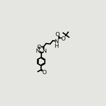 CC(=O)c1ccc(-c2noc(CCCNC(=O)OC(C)(C)C)n2)cc1